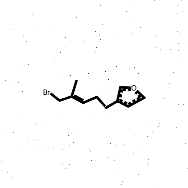 C/C(=C\CCc1ccoc1)CBr